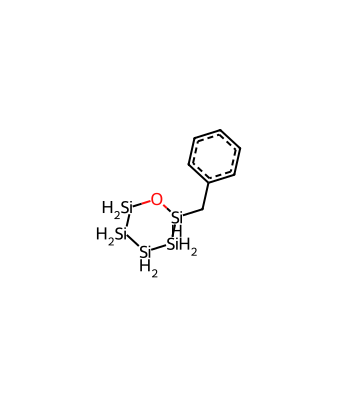 c1ccc(C[SiH]2O[SiH2][SiH2][SiH2][SiH2]2)cc1